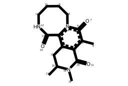 Cc1c2c(c3n(c1=O)CCCCNC3=O)CC(C)N(C)C2=O